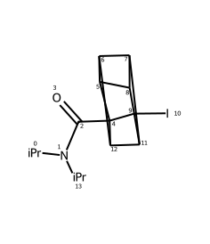 CC(C)N(C(=O)C12C3C4C5C3C1(I)C5C42)C(C)C